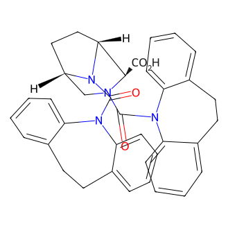 O=C(O)[C@@H]1[C@H]2CC[C@@H](CN1C(=O)N1c3ccccc3CCc3ccccc31)N2C(=O)N1c2ccccc2CCc2ccccc21